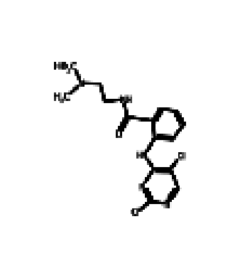 CN(CCNC(=O)c1ccccc1Nc1nc(Cl)ncc1Cl)C(=O)O